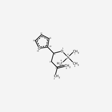 C=C(C)CC(O[Si](C)(C)C)c1ccco1